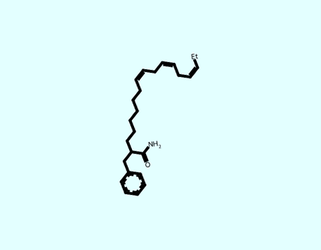 CC/C=C\C/C=C\C/C=C\CCCCCCC(Cc1ccccc1)C(N)=O